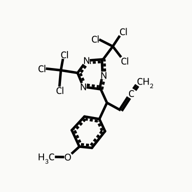 C=C=CC(c1ccc(OC)cc1)c1nc(C(Cl)(Cl)Cl)nc(C(Cl)(Cl)Cl)n1